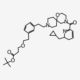 CC(C)(C)OC(=O)CCOCCc1cccc(CCN2CCC3(CC2)CN(C(=O)C2=NC(CC4CC4)CC=C2)CCO3)c1